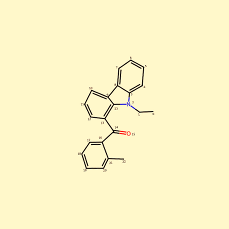 CCn1c2ccccc2c2cccc(C(=O)c3ccccc3C)c21